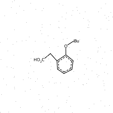 CCC(C)Oc1ccccc1CC(=O)O